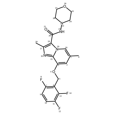 Cc1cc(OCc2c(F)ccc(F)c2F)c2nc(C)c(C(=O)NN3CCOCC3)n2c1